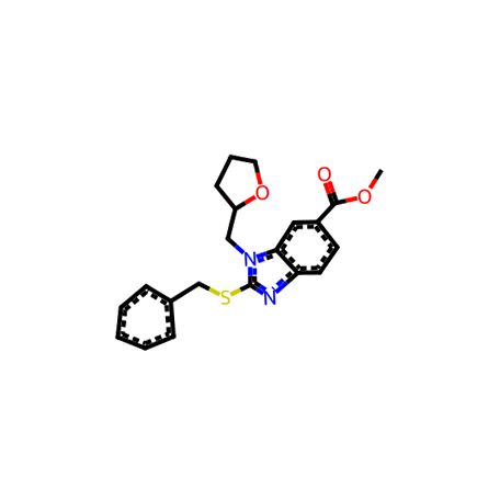 COC(=O)c1ccc2nc(SCc3ccccc3)n(CC3CCCO3)c2c1